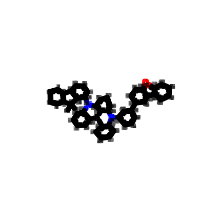 CC1(C)c2ccccc2-c2cccc(N3c4ccccc4B4c5ccccc5N(c5cccc(-c6ccc7oc8ccccc8c7c6)c5)c5cccc3c54)c21